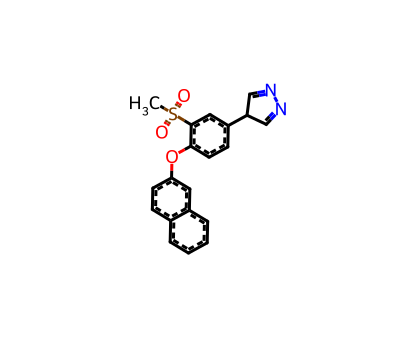 CS(=O)(=O)c1cc(C2C=NN=C2)ccc1Oc1ccc2ccccc2c1